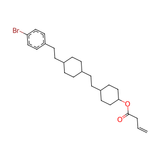 C=CCC(=O)OC1CCC(CCC2CCC(CCc3ccc(Br)cc3)CC2)CC1